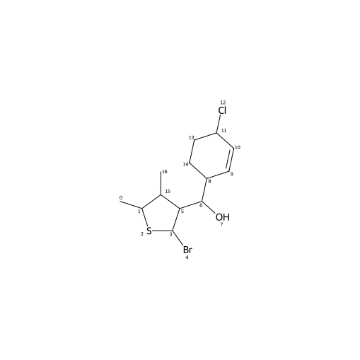 CC1SC(Br)C(C(O)C2C=CC(Cl)CC2)C1C